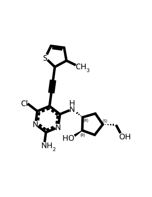 CC1C=CSC1C#Cc1c(Cl)nc(N)nc1N[C@@H]1C[C@H](CO)C[C@H]1O